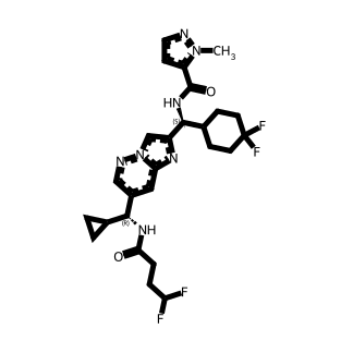 Cn1nccc1C(=O)N[C@H](c1cn2ncc([C@H](NC(=O)CCC(F)F)C3CC3)cc2n1)C1CCC(F)(F)CC1